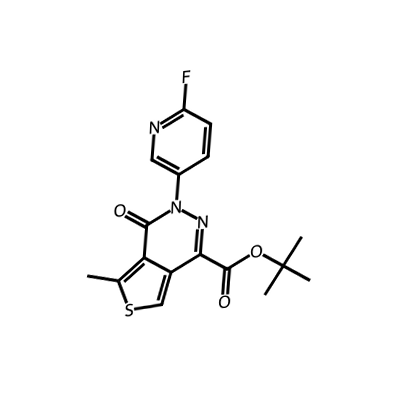 Cc1scc2c(C(=O)OC(C)(C)C)nn(-c3ccc(F)nc3)c(=O)c12